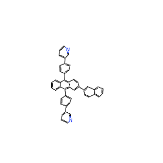 c1cncc(-c2ccc(-c3c4ccccc4c(-c4ccc(-c5cccnc5)cc4)c4cc(-c5ccc6ccccc6c5)ccc34)cc2)c1